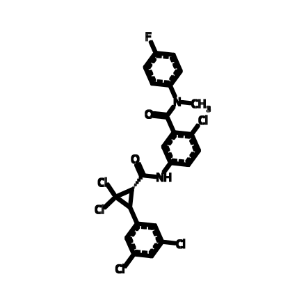 CN(C(=O)c1cc(NC(=O)[C@@H]2C(c3cc(Cl)cc(Cl)c3)C2(Cl)Cl)ccc1Cl)c1ccc(F)cc1